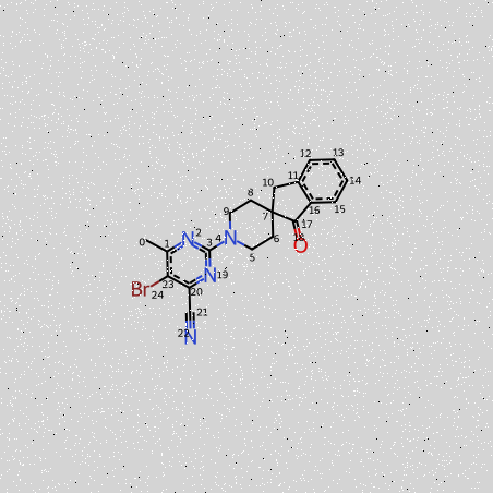 Cc1nc(N2CCC3(CC2)Cc2ccccc2C3=O)nc(C#N)c1Br